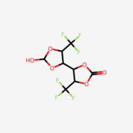 O=C1OC(C2OC(O)OC2C(F)(F)F)C(C(F)(F)F)O1